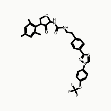 Cc1cc(C)c(C2COC(NC(=O)NCCc3ccc(-c4ncn(-c5ccc(OC(F)(F)F)cc5)n4)cc3)C2=O)c(C)c1